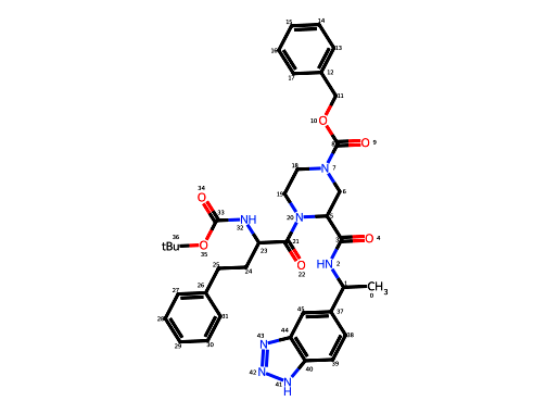 CC(NC(=O)C1CN(C(=O)OCc2ccccc2)CCN1C(=O)C(CCc1ccccc1)NC(=O)OC(C)(C)C)c1ccc2[nH]nnc2c1